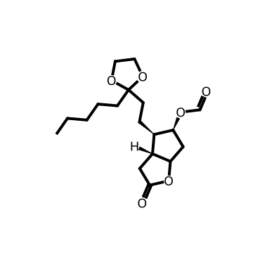 CCCCCC1(CC[C@H]2[C@@H](OC=O)CC3OC(=O)C[C@@H]32)OCCO1